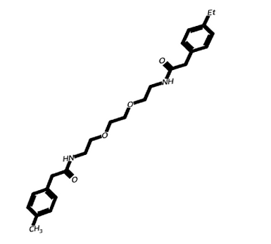 CCc1ccc(CC(=O)NCCOCCOCCNC(=O)Cc2ccc(C)cc2)cc1